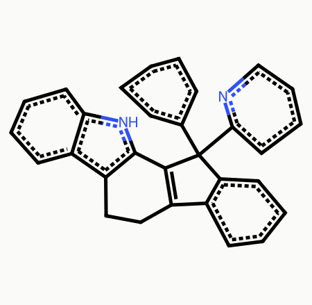 c1ccc(C2(c3ccccn3)C3=C(CCc4c3[nH]c3ccccc43)c3ccccc32)cc1